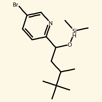 CC(CC(O[SiH](C)C)c1ccc(Br)cn1)C(C)(C)C